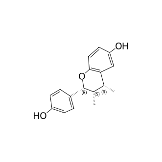 C[C@H]1[C@@H](C)c2cc(O)ccc2O[C@H]1c1ccc(O)cc1